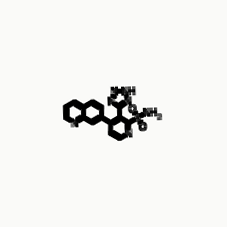 NS(=O)(=O)c1nccc(-c2ccc3cccnc3c2)c1-c1nn[nH]n1